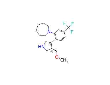 COC[C@H]1CNC[C@@H]1c1ccc(C(F)(F)F)cc1N1CCCCCC1